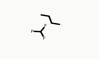 F[C](F)F.[CH2]CCC